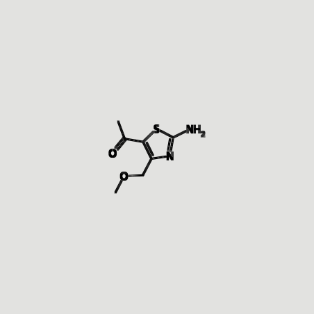 COCc1nc(N)sc1C(C)=O